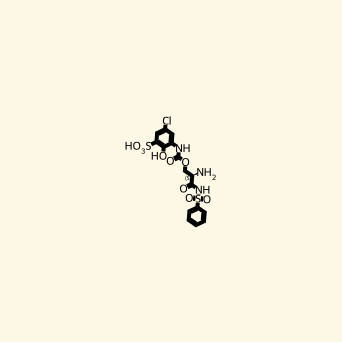 N[C@@H](COC(=O)Nc1cc(Cl)cc(S(=O)(=O)O)c1O)C(=O)NS(=O)(=O)c1ccccc1